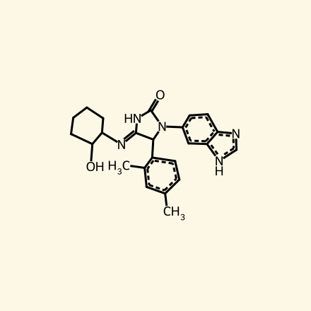 Cc1ccc(C2C(=NC3CCCCC3O)NC(=O)N2c2ccc3nc[nH]c3c2)c(C)c1